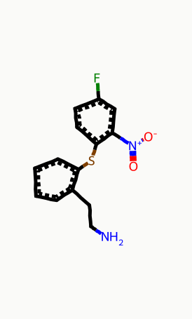 NCCc1ccccc1Sc1ccc(F)cc1[N+](=O)[O-]